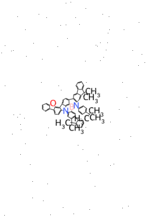 CC(C)(C)c1ccc(N2B3c4cc5c(cc4-n4c6ccc7c8ccccc8oc7c6c6ccc(c3c64)-c3cc4c(cc32)C(C)(C)c2ccccc2-4)C(C)(C)c2ccccc2-5)cc1